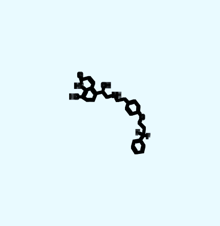 O=c1ccc2c([C@@H](O)CNCCc3ccc(OCCC(F)(F)c4ccccc4)cc3)ccc(O)c2[nH]1